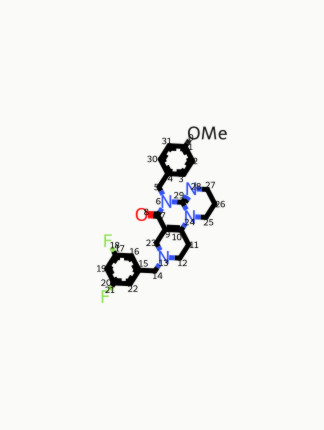 COc1ccc(CN2C(=O)C3=C(CCN(Cc4cc(F)cc(F)c4)C3)N3CCCN=C23)cc1